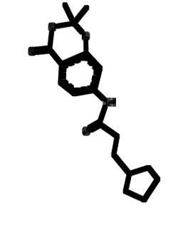 CC1(C)OC(=O)c2ccc(NC(=O)CCC3CCCC3)cc2O1